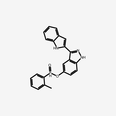 Cc1ccccc1[PH](=O)Oc1ccc2[nH]nc(-c3cc4ccccc4[nH]3)c2c1